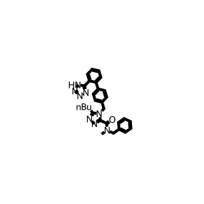 CCCCc1nnc(C(=O)N(C)Cc2ccccc2)n1Cc1ccc(-c2ccccc2-c2nnn[nH]2)cc1